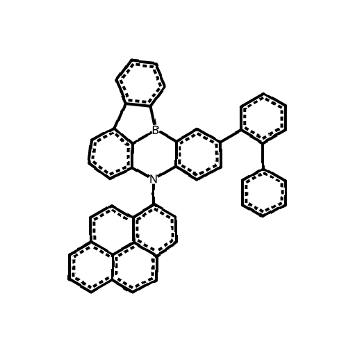 c1ccc(-c2ccccc2-c2ccc3c(c2)B2c4ccccc4-c4cccc(c42)N3c2ccc3ccc4cccc5ccc2c3c45)cc1